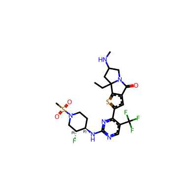 CCC12CC(NC)CN1C(=O)c1cc(-c3nc(N[C@@H]4CCN(S(C)(=O)=O)C[C@H]4F)ncc3C(F)(F)F)sc12